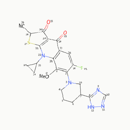 COc1c(N2CCCC(c3ncn[nH]3)C2)c(F)cc2c(=O)c3c(n(C4CC4)c12)SC(C#N)C3=O